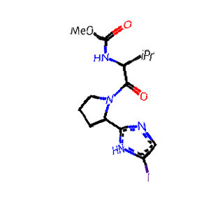 COC(=O)NC(C(=O)N1CCCC1c1ncc(I)[nH]1)C(C)C